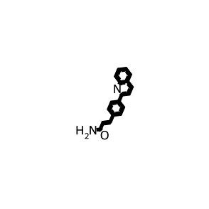 NC(=O)C=Cc1ccc(-c2ccc3ccccc3n2)cc1